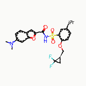 CC(C)c1ccc(OC[C@H]2CC2(F)F)c(S(=O)(=O)NC(=O)c2cc3ccc(N(C)C)cc3o2)c1